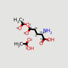 CC(=O)O.CC(=O)OC(=O)CC[C@H](N)C(=O)O